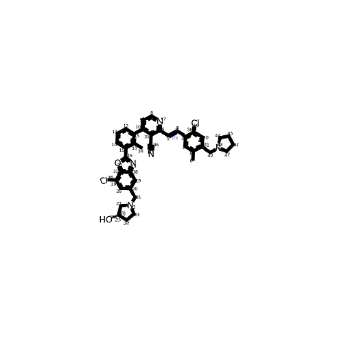 Cc1cc(/C=C/c2nccc(-c3cccc(-c4nc5cc(CN6CC[C@@H](O)C6)cc(Cl)c5o4)c3C)c2C#N)c(Cl)cc1CN1CCCC1